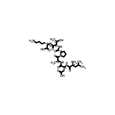 CC(C)C[C@H](N)C(=O)N[C@@H](CC(=O)O)C(=O)N[C@@H](C)C(=O)N1CCC[C@H]1C(=O)N[C@H](C(=O)N[C@@H](CCCCN)C(=O)O)[C@@H](C)O